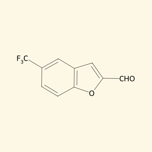 O=Cc1cc2cc(C(F)(F)F)ccc2o1